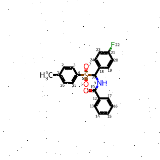 Cc1ccc(S(=O)(=O)C(NC(=O)c2ccccc2)c2ccc(F)cc2)cc1